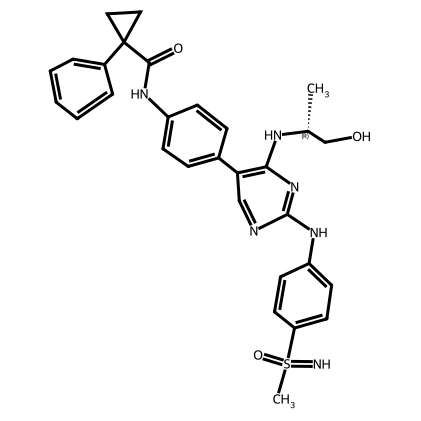 C[C@H](CO)Nc1nc(Nc2ccc(S(C)(=N)=O)cc2)ncc1-c1ccc(NC(=O)C2(c3ccccc3)CC2)cc1